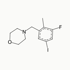 Cc1c(F)cc(I)cc1CN1CCOCC1